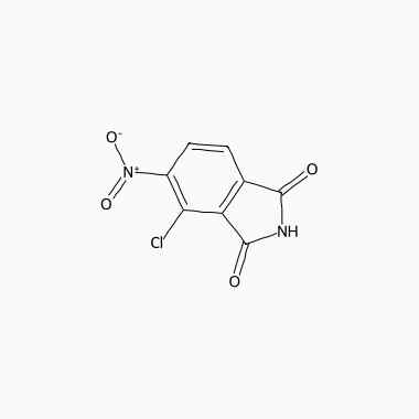 O=C1NC(=O)c2c1ccc([N+](=O)[O-])c2Cl